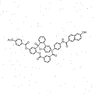 CC(=O)Oc1ccc(C(=O)Oc2ccc(OC(=O)c3cccc(C(=O)Oc4ccc(NC(=O)c5ccc6cc(O)ccc6c5)cc4)c3)c(P3(=O)Oc4ccccc4-c4ccccc43)c2)cc1